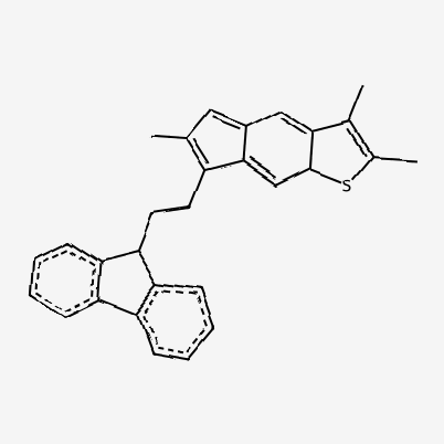 CC1=C(CCC2c3ccccc3-c3ccccc32)C2=CC3SC(C)=C(C)C3=CC2=C1